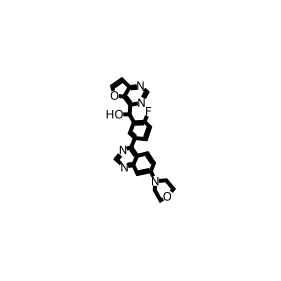 OC(c1cc(-c2ncnc3cc(N4CCOCC4)ccc23)ccc1F)c1ncnc2ccoc12